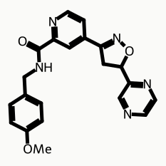 COc1ccc(CNC(=O)c2cc(C3=NOC(c4cnccn4)C3)ccn2)cc1